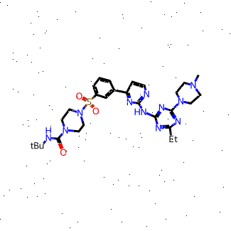 CCc1nc(Nc2nccc(-c3cccc(S(=O)(=O)N4CCN(C(=O)NC(C)(C)C)CC4)c3)n2)nc(N2CCN(C)CC2)n1